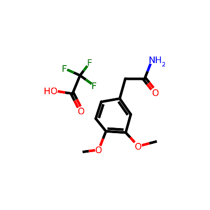 COc1ccc(CC(N)=O)cc1OC.O=C(O)C(F)(F)F